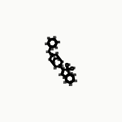 O=S1(=O)C(N2CC3CC(CN(Cc4ccccc4)C3)C2)=Cc2ccccc21